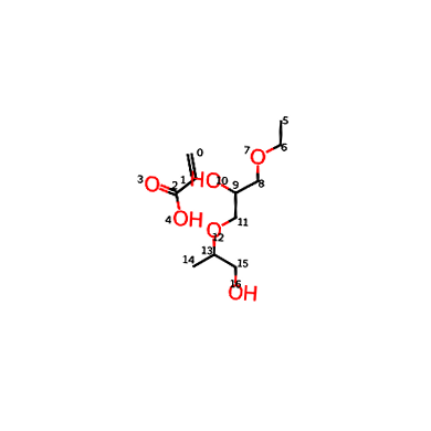 C=CC(=O)O.CCOCC(O)COC(C)CO